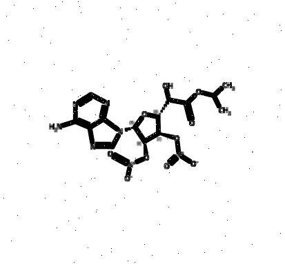 CC(C)OC(=O)C(O)[C@H]1O[C@@H](n2cnc3c(N)ncnc32)[C@H](O[N+](=O)[O-])[C@@H]1O[N+](=O)[O-]